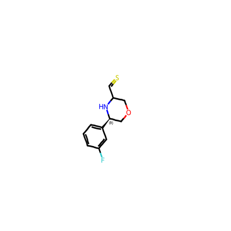 Fc1cccc([C@@H]2COCC(C=S)N2)c1